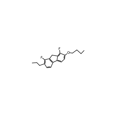 CCCCOc1ccc2c(c1F)Cc1c-2ccc(CCC)c1F